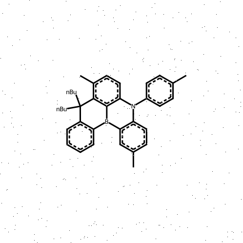 CCCCC1(CCCC)c2ccccc2B2c3cc(C)ccc3N(c3ccc(C)cc3)c3ccc(C)c1c32